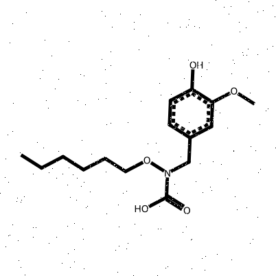 CCCCCCON(Cc1ccc(O)c(OC)c1)C(=O)O